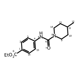 CCOC(=O)c1ccc(NC(=O)N2CCC(C)CC2)cc1